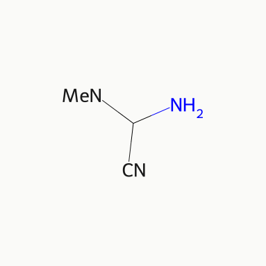 CNC(N)C#N